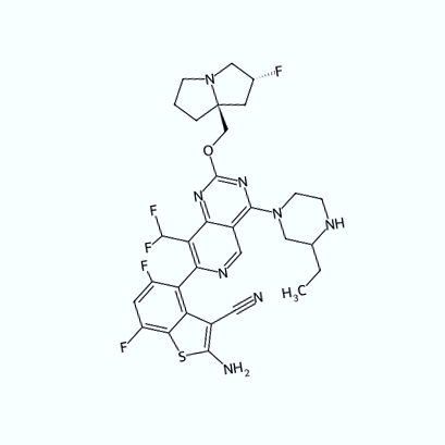 CCC1CN(c2nc(OC[C@@]34CCCN3C[C@H](F)C4)nc3c(C(F)F)c(-c4c(F)cc(F)c5sc(N)c(C#N)c45)ncc23)CCN1